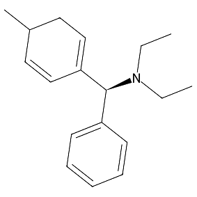 CCN(CC)[C@H](C1=CCC(C)C=C1)c1ccccc1